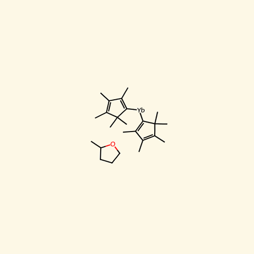 CC1=C(C)C(C)(C)[C]([Yb][C]2=C(C)C(C)=C(C)C2(C)C)=C1C.CC1CCCO1